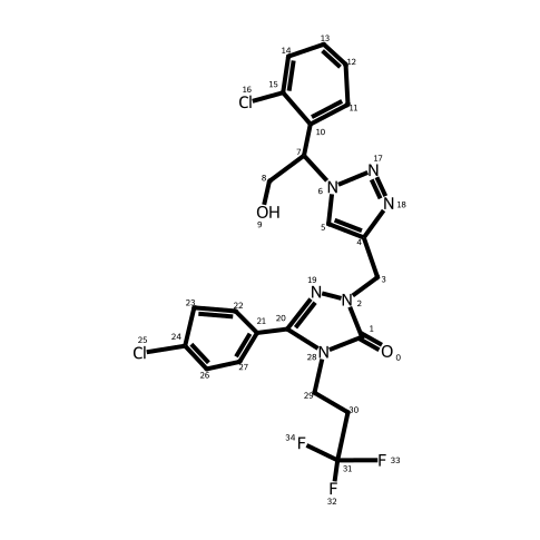 O=c1n(Cc2cn(C(CO)c3ccccc3Cl)nn2)nc(-c2ccc(Cl)cc2)n1CCC(F)(F)F